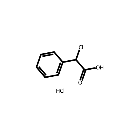 Cl.O=C(O)C(Cl)c1ccccc1